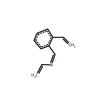 C=C/N=C\c1ccccc1C=C